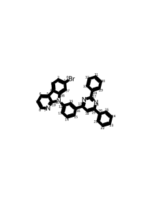 Brc1ccc2c3cccnc3n(-c3cccc(-c4cc(-c5ccccc5)nc(-c5ccccc5)n4)c3)c2c1